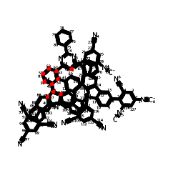 [C-]#[N+]c1cc(C#N)c(-c2ccc3c(c2)c2cc(-c4c(C#N)cc(C#N)cc4[N+]#[C-])ccc2n3-c2cccc(-c3nc(-c4ccccc4)nc(-c4ccccc4)n3)c2-c2cccc(-c3c(-c4nc(-c5ccccc5)nc(-c5ccccc5)n4)cccc3-n3c4ccc(-c5c(C#N)cc(C#N)cc5C#N)cc4c4cc(-c5c(C#N)cc(C#N)cc5C#N)ccc43)c2)c([N+]#[C-])c1